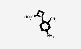 Cc1cc(N)ccc1N1CCC1C(=O)O